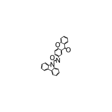 O=c1c2ccccc2oc2cc3oc(-n4c5ccccc5c5ccccc54)nc3cc12